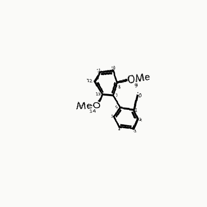 [CH2]c1ccccc1-c1c(OC)cccc1OC